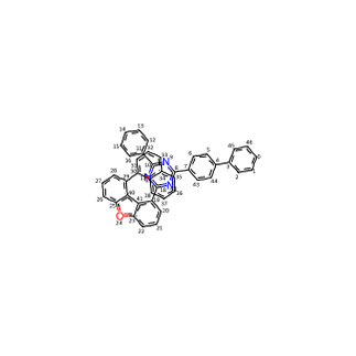 c1ccc(-c2ccc(-c3nc(-c4ccccc4)nc(-c4cccc5oc6cccc(-c7cccc8ccccc78)c6c45)n3)cc2)cc1